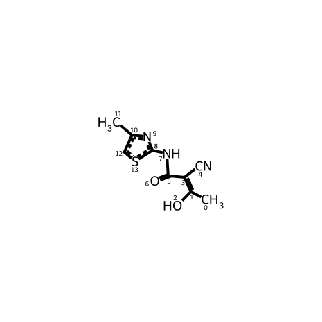 C/C(O)=C(\C#N)C(=O)Nc1nc(C)cs1